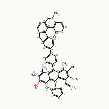 Bc1c(C)c(C=C)c2c(-c3ccccc3)c3c(C)c(O)c(C)c(C)c3c(-c3ccc(-c4ccc5c(c4)Cc4ccc(CCC)c(-c6ccccc6C)c4-5)cc3)c2c1C